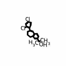 CC(C)(O)c1ccc2c(c1)CCCC(c1ccc(Cl)cc1Cl)=C2